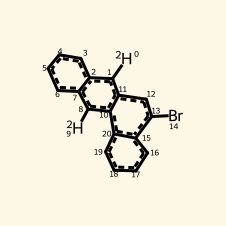 [2H]c1c2ccccc2c([2H])c2c1cc(Br)c1ccccc12